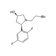 CC(C)(C)CCN1C[C@H](O)C[C@@H]1c1cc(F)ccc1F